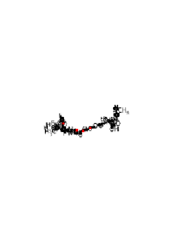 Cc1ncsc1-c1ccc(CNC(=O)[C@@H]2C[C@@H](O)CN2C(=O)C(NC(=O)CCOCCOCCOCCOCCC(=O)N2CCN(c3ncc(-c4cc(NC(=O)c5ccc(F)cc5C(F)(F)F)c(N5C[C@@H](C)N(C)[C@@H](C)C5)cc4F)cn3)CC2)C(C)(C)C)cc1